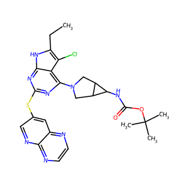 CCc1[nH]c2nc(Sc3cnc4nccnc4c3)nc(N3CC4C(C3)C4NC(=O)OC(C)(C)C)c2c1Cl